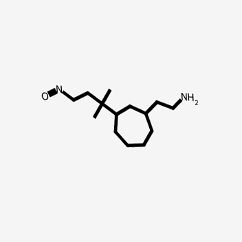 CC(C)(CCN=O)C1CCCCC(CCN)C1